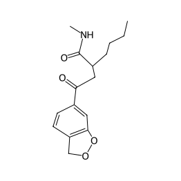 CCCCC(CC(=O)c1ccc2c(c1)OOC2)C(=O)NC